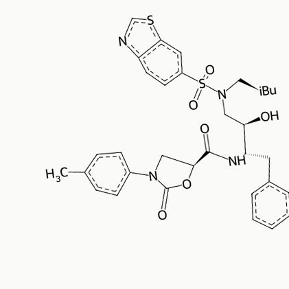 CC[C@H](C)CN(C[C@@H](O)[C@H](Cc1ccccc1)NC(=O)[C@@H]1CN(c2ccc(C)cc2)C(=O)O1)S(=O)(=O)c1ccc2ncsc2c1